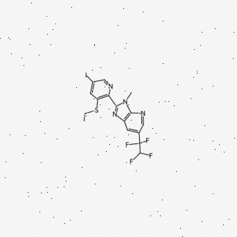 CCSc1cc(I)cnc1-c1nc2cc(C(F)(F)C(F)F)cnc2n1C